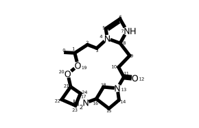 CC(CCN1C=CNC1CCC(=O)N1CCC(N)C1)OOC1CCC1